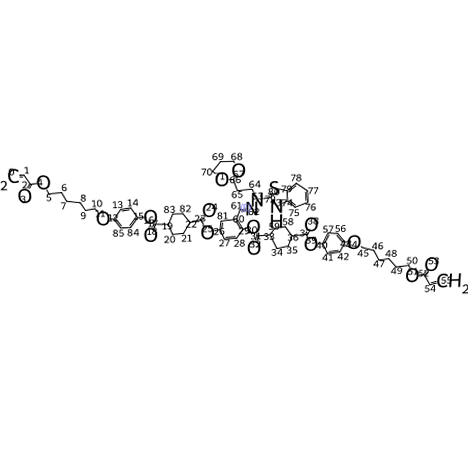 C=CC(=O)OCCCCCCOc1ccc(OC(=O)C2CCC(C(=O)Oc3ccc(OC(=O)C4CCC(C(=O)Oc5ccc(OCCCCCCOC(=O)C=C)cc5)CC4)c(/C=N/N(CCC4OCCCO4)C4Nc5ccccc5S4)c3)CC2)cc1